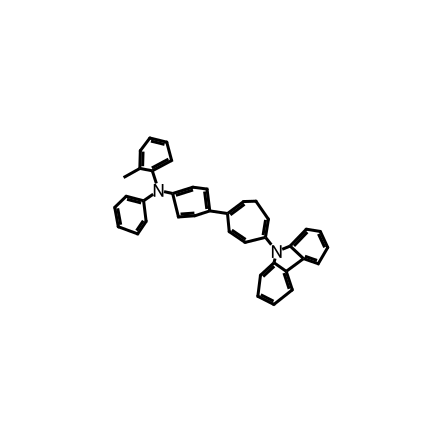 Cc1ccccc1N(c1ccccc1)c1ccc(C2=CCC=C(n3c4ccccc4c4ccccc43)C=C2)cc1